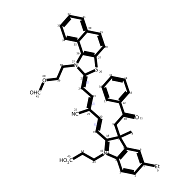 CCc1ccc2c(c1)C(C)(CC(=O)c1ccccc1)C(/C=C/C(C#N)=C/C=C1\Sc3ccc4ccccc4c3N1CCOC=O)=[N+]2CCC(=O)O